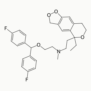 CCC1(CCN(C)CCOC(c2ccc(F)cc2)c2ccc(F)cc2)OCCc2cc3c(cc21)COO3